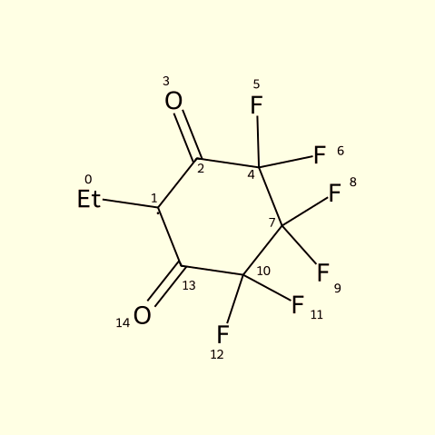 CC[C]1C(=O)C(F)(F)C(F)(F)C(F)(F)C1=O